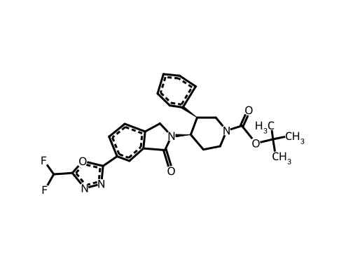 CC(C)(C)OC(=O)N1CC[C@@H](N2Cc3ccc(-c4nnc(C(F)F)o4)cc3C2=O)[C@@H](c2ccccc2)C1